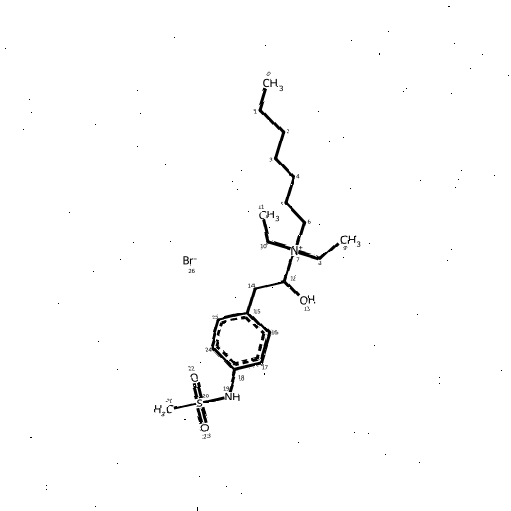 CCCCCCC[N+](CC)(CC)C(O)Cc1ccc(NS(C)(=O)=O)cc1.[Br-]